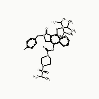 CC(C)[Si](Oc1c2c(c(OC(=O)N3CCN(S(=O)(=O)N(C)C)CC3)c3cccnc13)CN(Cc1ccc(F)cc1)C2=O)(C(C)C)C(C)C